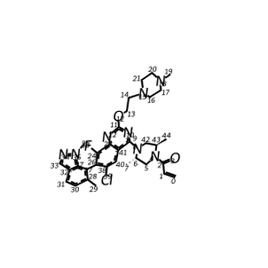 C=CC(=O)N1C[C@H](C)N(c2nc(OCCN3CCN(C)CC3)nc3c(F)c(-c4c(C)ccc5cnn(C)c45)c(Cl)cc23)C[C@H]1C